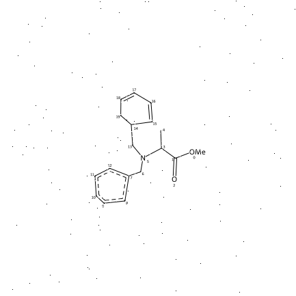 COC(=O)C(C)N(Cc1ccccc1)CC1C=CC=CC1